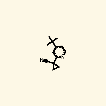 CC(C)(C)c1ccnc(C2(C#N)CC2)c1